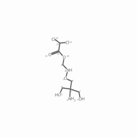 NC(CO)(CO)CONCOC(=O)C(Cl)Cl